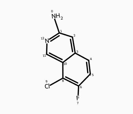 Nc1cc2c[c]c(F)c(Cl)c2cn1